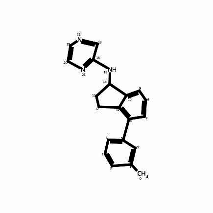 Cc1cccc(-c2cccc3c2CCC3Nc2cnccn2)c1